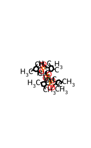 Cc1cc(C)c(C(=O)P(=O)(CCS(=O)(=O)CCP(=O)(C(=O)c2c(C)cc(C)cc2C)C(=O)c2c(C)cc(C)cc2C)C(=O)c2c(C)cc(C)cc2C)c(C)c1